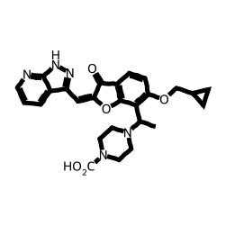 CC(c1c(OCC2CC2)ccc2c1OC(=Cc1n[nH]c3ncccc13)C2=O)N1CCN(C(=O)O)CC1